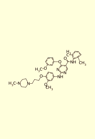 COc1cccc(Oc2nc(Nc3ccc(OCCCN4CCN(C)CC4)c(OC)c3)ncc2C(=O)Nc2c(C)cccc2C)c1